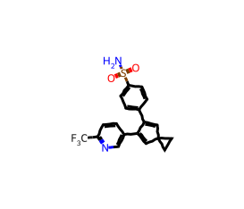 NS(=O)(=O)c1ccc(C2=CC3(C=C2c2ccc(C(F)(F)F)nc2)CC3)cc1